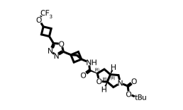 CC(C)(C)OC(=O)N1C[C@H]2C[C@H](C(=O)NC34CC(c5nnc(C6CC(OC(F)(F)F)C6)o5)(C3)C4)O[C@H]2C1